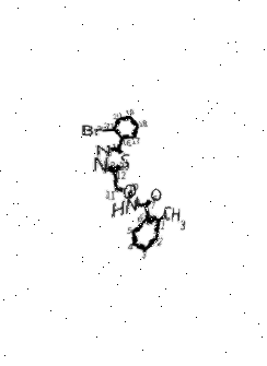 Cc1ccccc1C(=O)NOCc1nnc(-c2ccccc2Br)s1